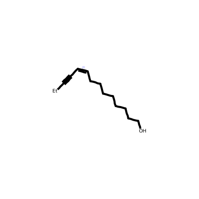 CCC#C/C=C\CCCCCCCCO